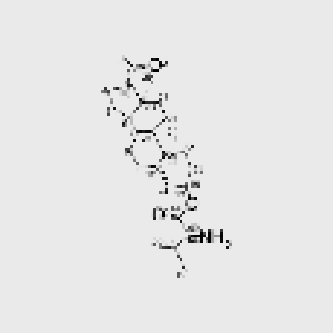 CC(=O)[C@H]1CCC2C3CCC4=C[C@H](OC(=O)[C@@H](N)C(C)C)CC[C@]4(C)C3CC[C@@]21C